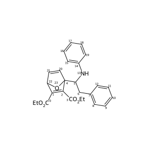 CCOC(=O)C1=C(C(=O)OCC)C2(C(Cc3ccccc3)Nc3ccccc3)C=CC1O2